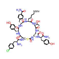 CNCCCC[C@@H]1NC(=O)[C@@H](Cc2ccc(C(N)=O)cc2)NC(=O)[C@H](Cc2ccc(O)cc2)NC(=O)[C@H](NC(=O)[C@@H](N)Cc2ccc(Cl)cc2)CSC(=O)NC[C@@H](C(=O)N[C@H](Cc2ccc(O)cc2)C(N)=O)NC(=O)[C@H](C(C)O)NC1=O